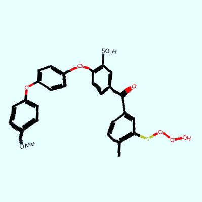 COc1ccc(Oc2ccc(Oc3ccc(C(=O)c4ccc(C)c(SOOO)c4)cc3S(=O)(=O)O)cc2)cc1